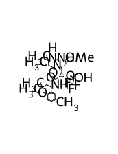 COCC[C@H]([C@@H]1C[C@H]1C(=O)N[C@H]1CC(C)(C)Oc2ccc(C)cc21)N1C(=N)NC(C)(C)CC1=O.O=C(O)C(F)(F)F